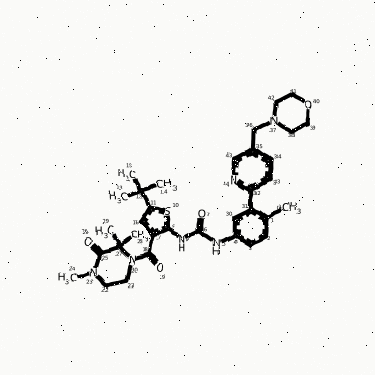 Cc1ccc(NC(=O)Nc2sc(C(C)(C)C)cc2C(=O)N2CCN(C)C(=O)C2(C)C)cc1-c1ccc(CN2CCOCC2)cn1